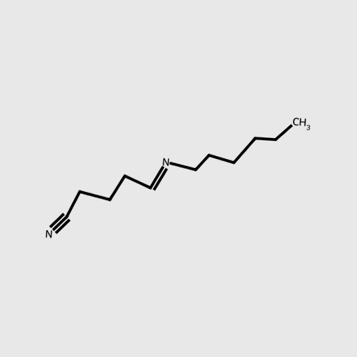 CCCCCCN=CCCCC#N